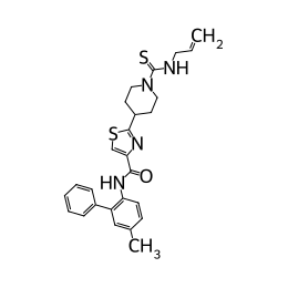 C=CCNC(=S)N1CCC(c2nc(C(=O)Nc3ccc(C)cc3-c3ccccc3)cs2)CC1